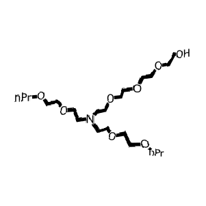 CCCOCCOCCN(CCOCCOCCC)CCOCCOCCOCCO